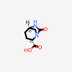 O=C(O)[C@@H]1CC[C@@H]2CN1C(=O)N2